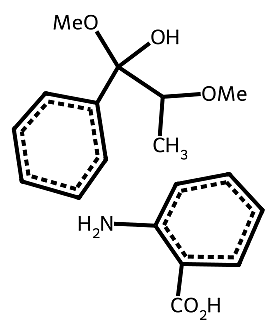 COC(C)C(O)(OC)c1ccccc1.Nc1ccccc1C(=O)O